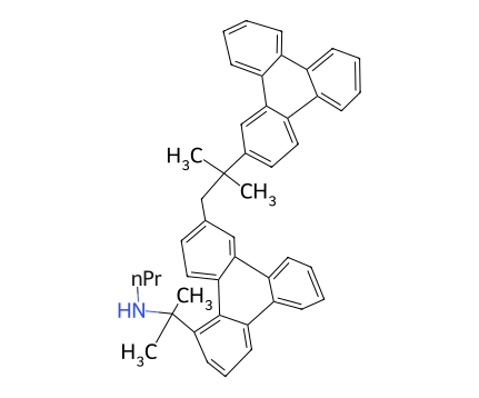 CCCNC(C)(C)c1cccc2c3ccccc3c3cc(CC(C)(C)c4ccc5c6ccccc6c6ccccc6c5c4)ccc3c12